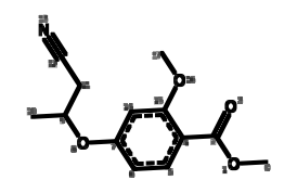 COC(=O)c1ccc(OC(C)CC#N)cc1OC